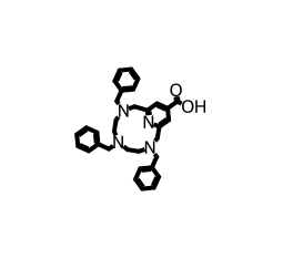 O=C(O)c1cc2nc(c1)CN(Cc1ccccc1)CCN(Cc1ccccc1)CCN(Cc1ccccc1)C2